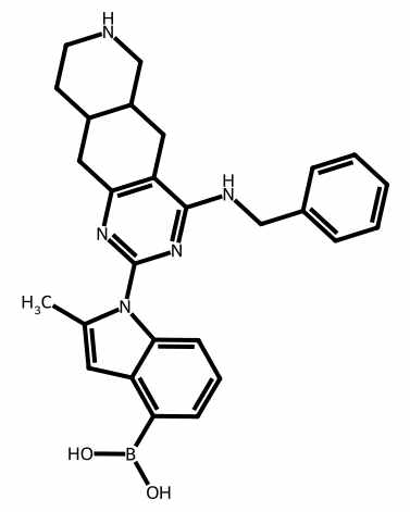 Cc1cc2c(B(O)O)cccc2n1-c1nc2c(c(NCc3ccccc3)n1)CC1CNCCC1C2